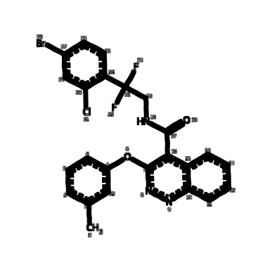 Cc1cccc(Oc2nnc3ccccc3c2C(=O)NCC(F)(F)c2ccc(Br)cc2Cl)c1